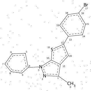 Cc1nn(-c2ccccc2)c2sc(-c3ccc(Br)cc3)cc12